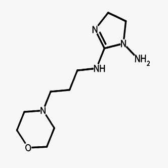 NN1CCN=C1NCCCN1CCOCC1